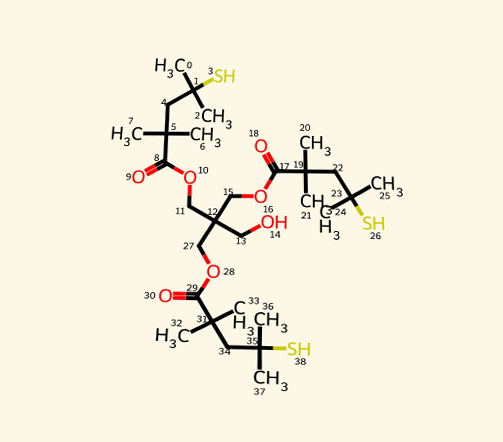 CC(C)(S)CC(C)(C)C(=O)OCC(CO)(COC(=O)C(C)(C)CC(C)(C)S)COC(=O)C(C)(C)CC(C)(C)S